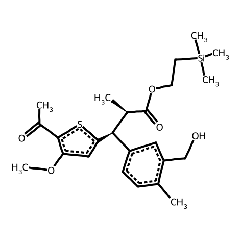 COc1cc([C@H](c2ccc(C)c(CO)c2)[C@@H](C)C(=O)OCC[Si](C)(C)C)sc1C(C)=O